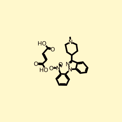 CN1CCC(c2nn(-c3ccccc3[N+](=O)[O-])c3ccccc23)CC1.O=C(O)C=CC(=O)O